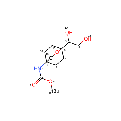 CC(C)(C)OC(=O)NC12CCC(C(O)CO)(CC1)OC2